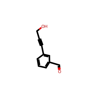 O=Cc1cccc(C#CCO)c1